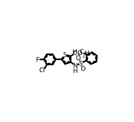 Cc1ccccc1S(=O)(=O)Nc1cc(-c2ccc(F)c(Cl)c2)sc1C(=O)O